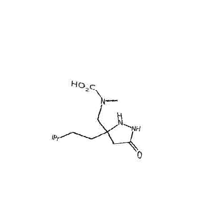 CC(C)CCC1(CN(C)C(=O)O)CC(=O)NN1